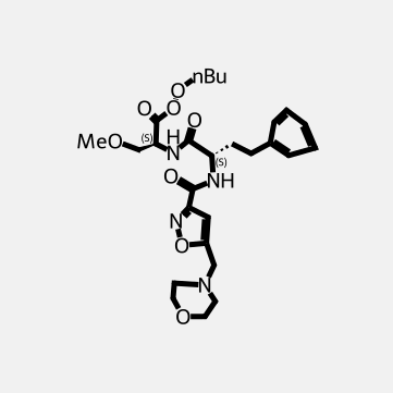 CCCCOOC(=O)[C@H](COC)NC(=O)[C@H](CCc1ccccc1)NC(=O)c1cc(CN2CCOCC2)on1